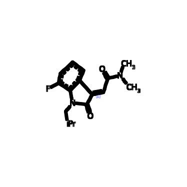 CC(C)CN1C(=O)/C(=C/C(=O)N(C)C)c2cccc(F)c21